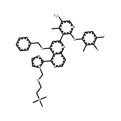 Cc1c(Oc2ncc(C(F)(F)F)c(C)c2-c2cc(OCc3ccccc3)c3c(-c4nccn4COCC[Si](C)(C)C)nccc3n2)ccc(F)c1F